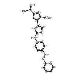 CSc1sc(C(=N)N)cc1-c1csc(Nc2ccc(N=Nc3ccccc3)cc2)n1